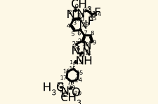 Cc1nc2ccc(-c3ccn4nc(NC[C@H]5CC[C@@H](C(=O)N(C)C)CC5)ncc34)nc2n1CC(F)F